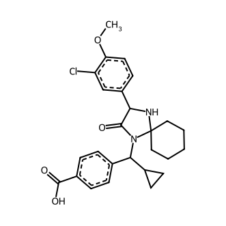 COc1ccc(C2NC3(CCCCC3)N(C(c3ccc(C(=O)O)cc3)C3CC3)C2=O)cc1Cl